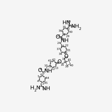 N=C(N)c1ccc(C(=O)NCc2ccc(OCC3(COc4ccc(CNC(=O)c5ccc(C(=N)N)cc5)cc4)CCC3)cc2)cc1